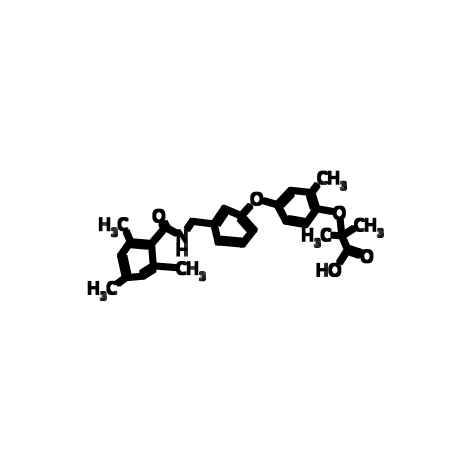 Cc1cc(C)c(C(=O)NCc2cccc(Oc3ccc(OC(C)(C)C(=O)O)c(C)c3)c2)c(C)c1